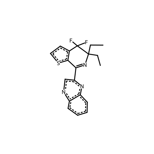 CCC1(CC)N=C(c2cnc3ccccc3n2)c2sccc2C1(F)F